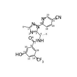 Cc1nc([C@H](C)NC(=O)c2cc(O)cc(C(F)(F)F)c2)n(-c2ccc(C#N)cn2)n1